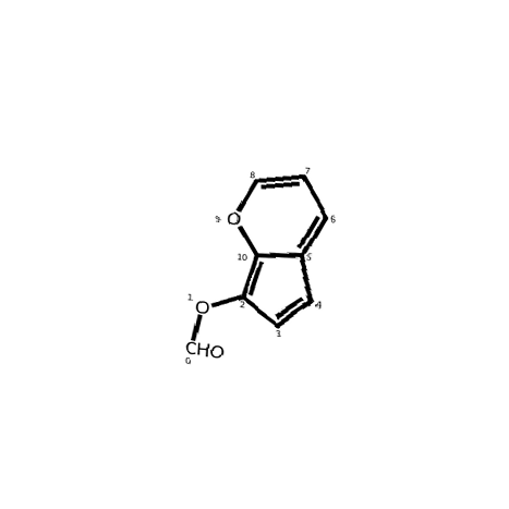 O=COc1ccc2cccoc1-2